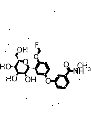 CNC(=O)c1cccc(Oc2ccc(OCF)c([C@H]3O[C@H](CO)[C@@H](O)[C@H](O)[C@@H]3O)c2)c1